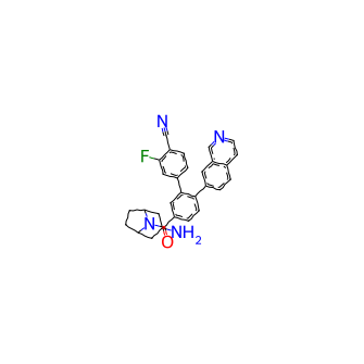 N#Cc1ccc(-c2cc(C(=O)N3C4CCC3CC(N)C4)ccc2-c2ccc3ccncc3c2)cc1F